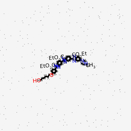 CCOC(=O)n1c(-c2ccc(OCCCCCCO)cc2)nc2cc(-c3nc4cc(-c5nc6cc(N7CCN(C)CC7)ccc6n5C(=O)OCC)ccc4n3C(=O)OCC)ccc21